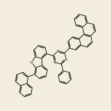 c1ccc(-c2nc(-c3ccc4c(ccc5ccc6ccccc6c54)c3)nc(-c3cccc4oc5c(-c6cccc7ccccc67)cccc5c34)n2)cc1